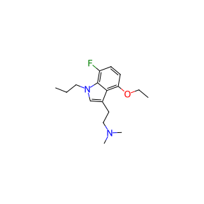 CCCn1cc(CCN(C)C)c2c(OCC)ccc(F)c21